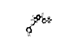 CS(=O)(=O)N1CCC[C@@H](Nc2ccc3c(=O)[nH]c(CSC4CCNCC4)nc3c2)C1